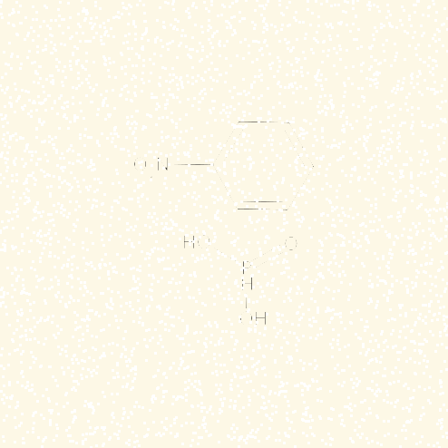 O=[N+]([O-])c1ccccc1.O=[PH](O)O